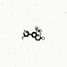 CN1C(=O)CCc2cc(-c3cncc(F)c3)cc([N+](=O)[O-])c21